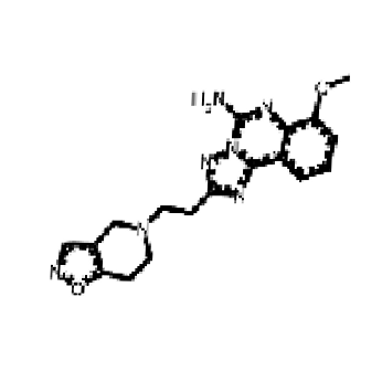 COc1cccc2c1nc(N)n1nc(CCN3CCc4oncc4C3)nc21